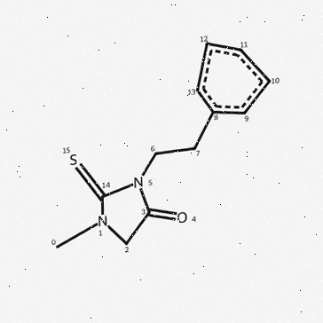 CN1CC(=O)N(CCc2ccccc2)C1=S